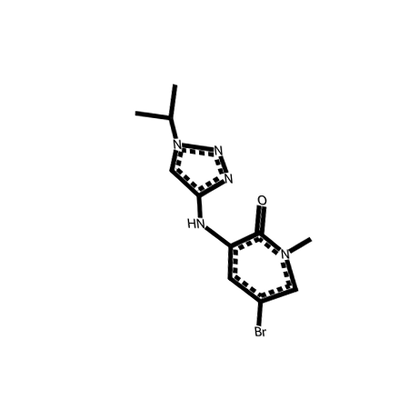 CC(C)n1cc(Nc2cc(Br)cn(C)c2=O)nn1